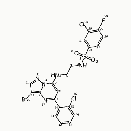 O=S(=O)(NCCNc1cc(-c2ccccc2Cl)nc2c(Br)cnn12)c1ccc(F)c(Cl)c1